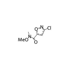 CON(C)C(=O)c1cc(Cl)no1